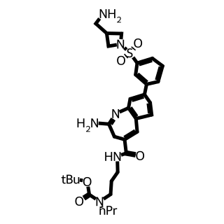 CCCN(CCCNC(=O)C1=Cc2ccc(-c3cccc(S(=O)(=O)N4CC(CN)C4)c3)cc2N=C(N)C1)C(=O)OC(C)(C)C